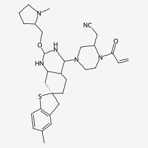 C=CC(=O)N1CCN(C2NC(OCC3CCCN3C)NC3C[C@]4(CCC32)Cc2cc(C)ccc2S4)CC1CC#N